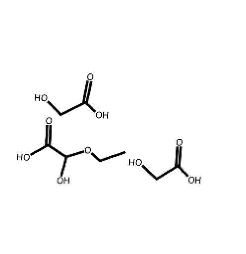 CCOC(O)C(=O)O.O=C(O)CO.O=C(O)CO